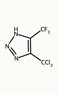 FC(F)(F)c1[nH]nnc1C(Cl)(Cl)Cl